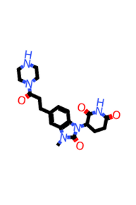 Cn1c(=O)n(C2CCC(=O)NC2=O)c2ccc(CCC(=O)N3CCNCC3)cc21